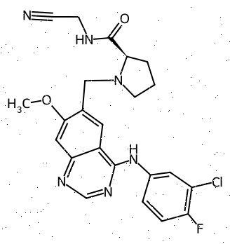 COc1cc2ncnc(Nc3ccc(F)c(Cl)c3)c2cc1CN1CCC[C@@H]1C(=O)NCC#N